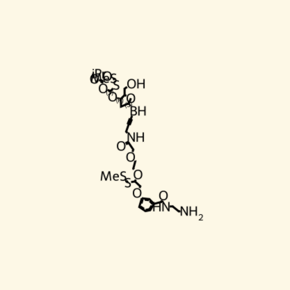 CSSC(COc1cccc(C(=O)NCCN)c1)OCCOCC(=O)NCC#CB[C@H]1C[C@@H](O[C@@H](OC(=O)OC(C)C)SSC)C(CO)O1